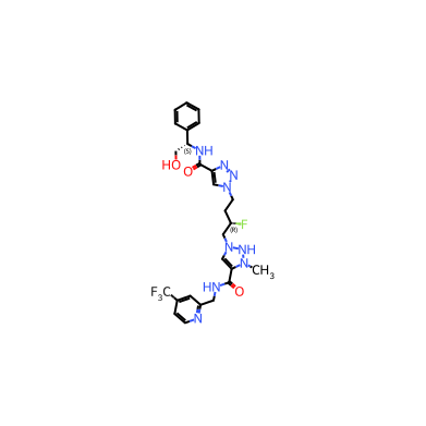 CN1NN(C[C@H](F)CCn2cc(C(=O)N[C@H](CO)c3ccccc3)nn2)C=C1C(=O)NCc1cc(C(F)(F)F)ccn1